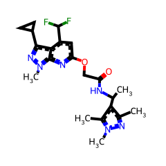 Cc1nn(C)c(C)c1C(C)NC(=O)COc1cc(C(F)F)c2c(C3CC3)nn(C)c2n1